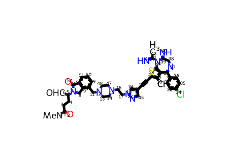 CNC(=O)CCC(C=O)N1Cc2c(CN3CCN(CCn4cc(C#Cc5sc6c(c5C)C(c5ccc(Cl)cc5)=NCC(=N)N6C(C)=N)cn4)CC3)cccc2C1=O